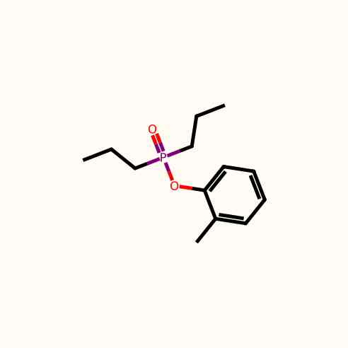 CCCP(=O)(CCC)Oc1ccccc1C